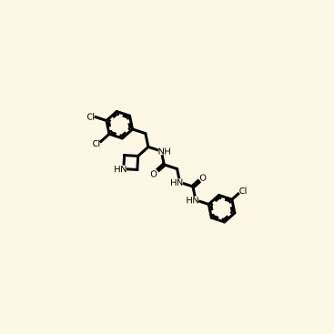 O=C(CNC(=O)Nc1cccc(Cl)c1)NC(Cc1ccc(Cl)c(Cl)c1)C1CNC1